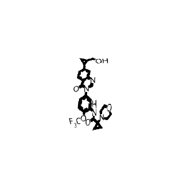 O=C(Nc1cc(-n2cnc3cc(C4CC4CO)ccc3c2=O)ccc1OC(F)(F)F)C1(N2CCOCC2)CC1